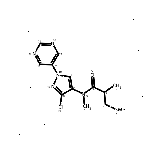 CSCC(C)C(=O)N(C)c1cn(-c2cncnc2)nc1Cl